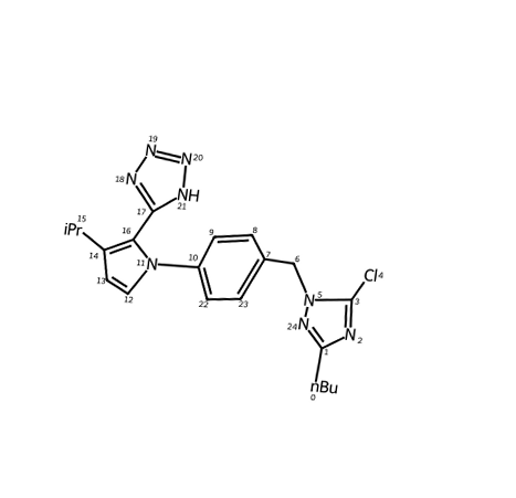 CCCCc1nc(Cl)n(Cc2ccc(-n3ccc(C(C)C)c3-c3nnn[nH]3)cc2)n1